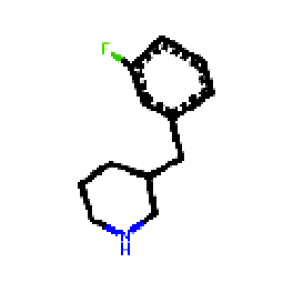 Fc1cccc(CC2CCCNC2)c1